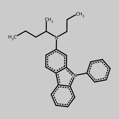 CCCC(C)N(CCC)c1ccc2c3ccccc3n(-c3ccccc3)c2c1